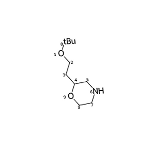 CC(C)(C)OCCC1CNCCO1